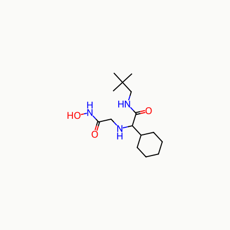 CC(C)(C)CNC(=O)C(NCC(=O)NO)C1CCCCC1